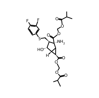 CC(C)C(=O)OCOC(=O)[C@@H]1C2[C@H]1[C@H](O)[C@@H](CSc1ccc(F)c(F)c1)[C@@]2(N)C(=O)OCOC(=O)C(C)C